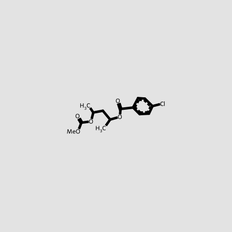 COC(=O)OC(C)CC(C)OC(=O)c1ccc(Cl)cc1